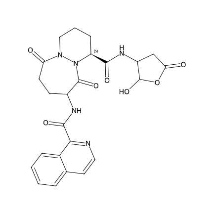 O=C1CC(NC(=O)[C@@H]2CCCN3C(=O)CCC(NC(=O)c4nccc5ccccc45)C(=O)N23)C(O)O1